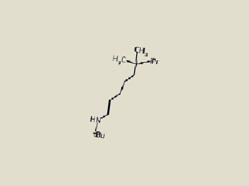 CC(C)C(C)(C)CCCCCNC(C)(C)C